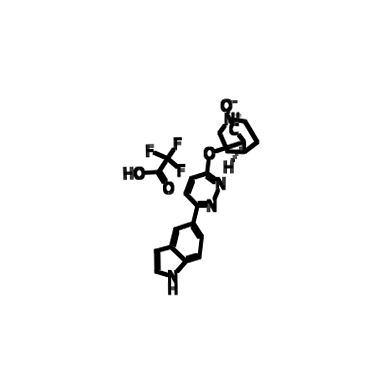 O=C(O)C(F)(F)F.[O-][N+]12CCC(CC1)[C@@H](Oc1ccc(-c3ccc4[nH]ccc4c3)nn1)C2